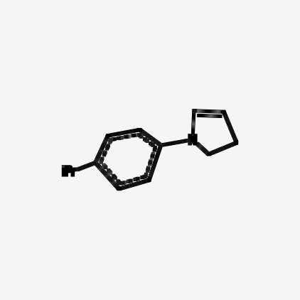 CC(C)c1ccc(N2C=CCC2)cc1